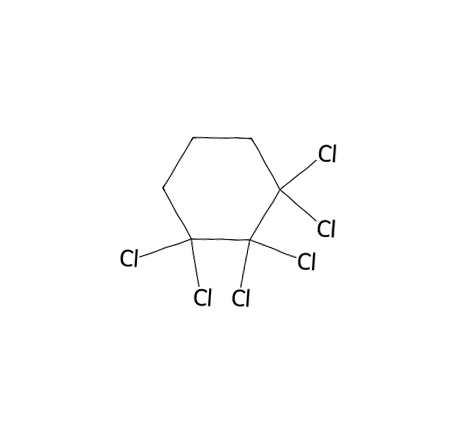 ClC1(Cl)CCCC(Cl)(Cl)C1(Cl)Cl